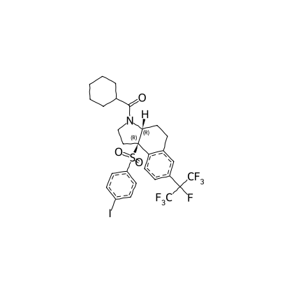 O=C(C1CCCCC1)N1CC[C@@]2(S(=O)(=O)c3ccc(I)cc3)c3ccc(C(F)(C(F)(F)F)C(F)(F)F)cc3CC[C@@H]12